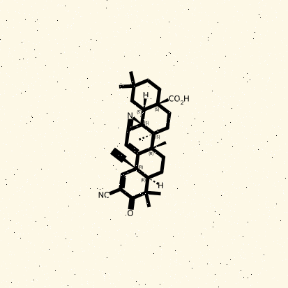 C#C[C@]12C=C(C#N)C(=O)C(C)(C)[C@@H]1CC[C@]1(C)C2=CC2=N[C@]23[C@@H]2CC(C)(C)CC[C@]2(C(=O)O)CC[C@@]13C